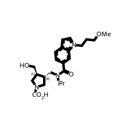 COCCCn1ccc2ccc(C(=O)N(C[C@@H]3CN(C(=O)O)C[C@H]3CO)C(C)C)cc21